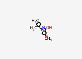 COc1ccc2c(c1)c(O)nn2Cc1ccc(C)cc1C